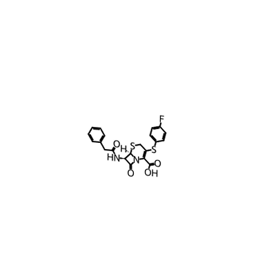 O=C(Cc1ccccc1)N[C@@H]1C(=O)N2C(C(=O)O)=C(Sc3ccc(F)cc3)CS[C@H]12